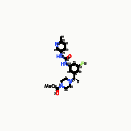 COC(=O)N1CCN([C@@H](C)c2cc(F)cc(NC(=O)Nc3ccc(C)nc3)c2)CC1